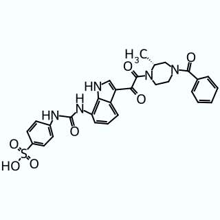 C[C@@H]1CN(C(=O)c2ccccc2)CCN1C(=O)C(=O)c1c[nH]c2c(NC(=O)Nc3ccc(S(=O)(=O)O)cc3)cccc12